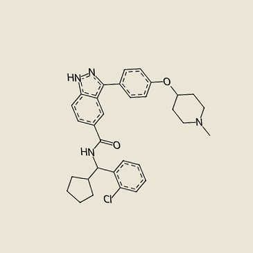 CN1CCC(Oc2ccc(-c3n[nH]c4ccc(C(=O)NC(c5ccccc5Cl)C5CCCC5)cc34)cc2)CC1